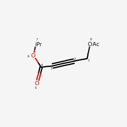 CC(=O)OCC#CC(=O)OC(C)C